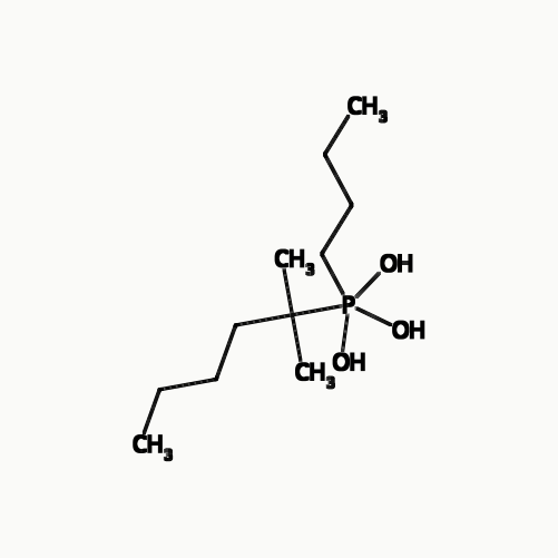 CCCCC(C)(C)P(O)(O)(O)CCCC